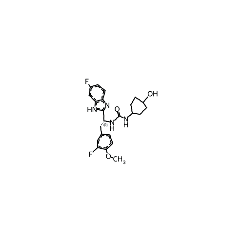 COc1ccc(C[C@@H](NC(=O)NC2CCC(O)CC2)c2nc3ccc(F)cc3[nH]2)cc1F